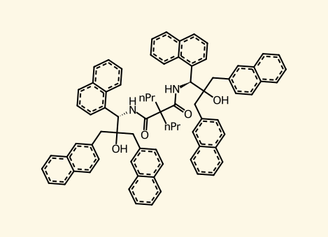 CCCC(CCC)(C(=O)N[C@@H](c1cccc2ccccc12)C(O)(Cc1ccc2ccccc2c1)Cc1ccc2ccccc2c1)C(=O)N[C@@H](c1cccc2ccccc12)C(O)(Cc1ccc2ccccc2c1)Cc1ccc2ccccc2c1